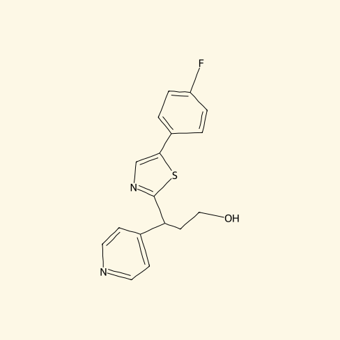 OCCC(c1ccncc1)c1ncc(-c2ccc(F)cc2)s1